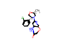 C[C@@H]1CN(c2cc3c(cn2)OCC(=O)N3)[C@H](c2ccccc2Cl)CO1